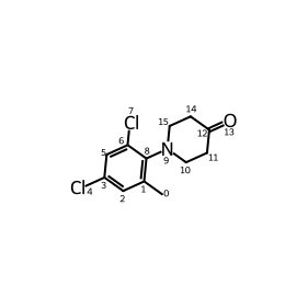 Cc1cc(Cl)cc(Cl)c1N1CCC(=O)CC1